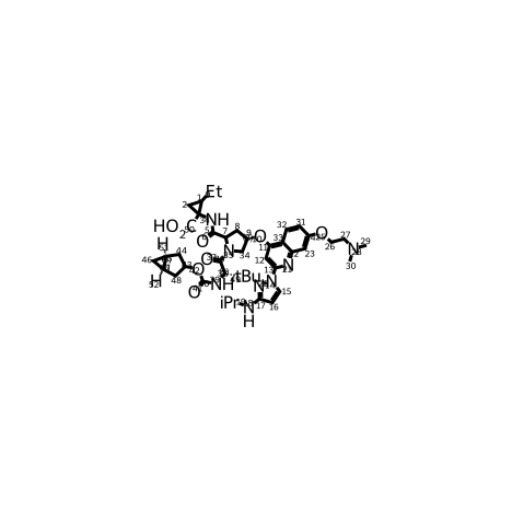 CCC1CC1(NC(=O)C1C[C@@H](Oc2cc(-n3ccc(NC(C)C)n3)nc3cc(OCCN(C)C)ccc23)CN1C(=O)[C@@H](NC(=O)OC1C[C@@H]2C[C@@H]2C1)C(C)(C)C)C(=O)O